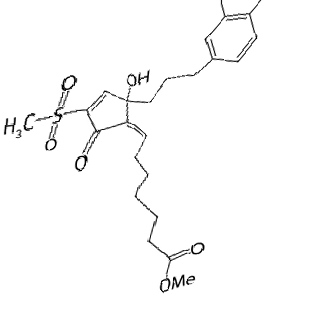 COC(=O)CCCCCC=C1C(=O)C(S(C)(=O)=O)=CC1(O)CCCc1ccc(OC)c(OC)c1